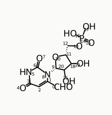 O=Cc1cc(=O)[nH]c(=O)n1[C@@H]1O[C@H](COP(=O)(O)O)C(O)C1O